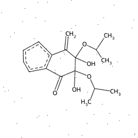 C=C1c2ccccc2C(=O)C(O)(OC(C)C)C1(O)OC(C)C